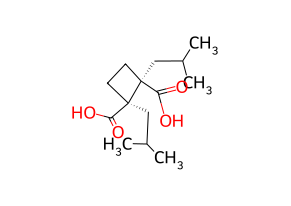 CC(C)C[C@]1(C(=O)O)CC[C@@]1(CC(C)C)C(=O)O